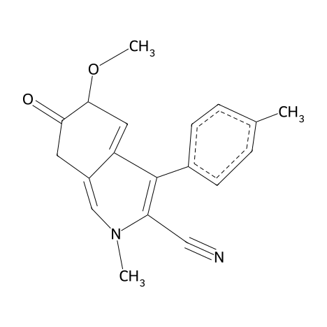 COC1C=C2C(=CN(C)C(C#N)=C2c2ccc(C)cc2)CC1=O